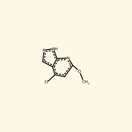 COc1cc(Cl)c2cn[nH]c2n1